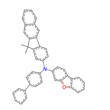 CC1(C)c2cc(N(c3ccc(-c4ccccc4)cc3)c3ccc4c(c3)oc3ccccc34)ccc2-c2cc3ccccc3cc21